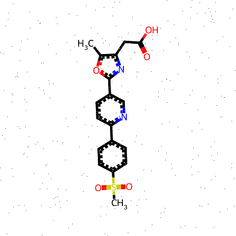 Cc1oc(-c2ccc(-c3ccc(S(C)(=O)=O)cc3)nc2)nc1CC(=O)O